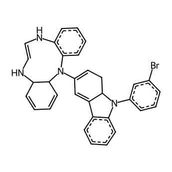 Brc1cccc(N2c3ccccc3C3=CC(N4c5ccccc5N/C=C/NC5C=CC=CC54)=CCC32)c1